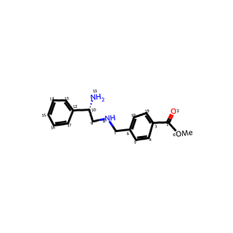 COC(=O)c1ccc(CNC[C@@H](N)c2ccccc2)cc1